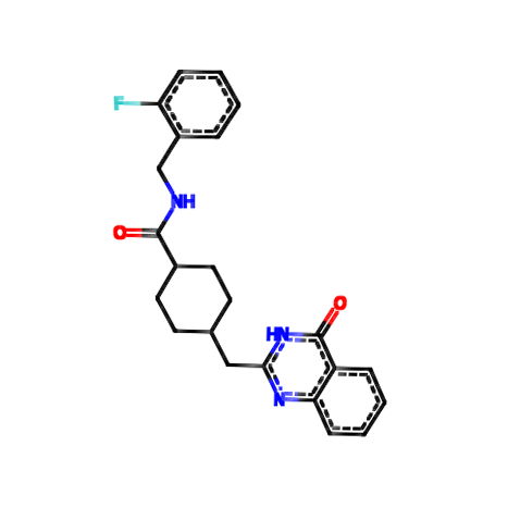 O=C(NCc1ccccc1F)C1CCC(Cc2nc3ccccc3c(=O)[nH]2)CC1